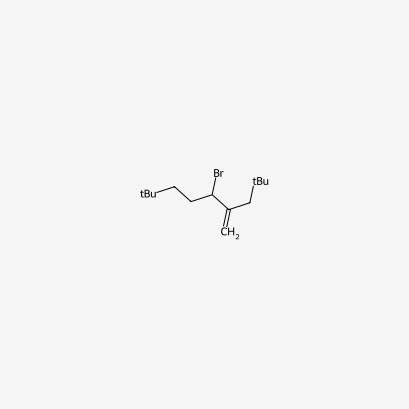 C=C(CC(C)(C)C)C(Br)CCC(C)(C)C